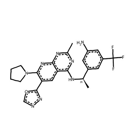 Cc1nc(N[C@H](C)c2cc(N)cc(C(F)(F)F)c2)c2cc(-c3nnco3)c(N3CCCC3)nc2n1